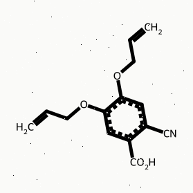 C=CCOc1cc(C#N)c(C(=O)O)cc1OCC=C